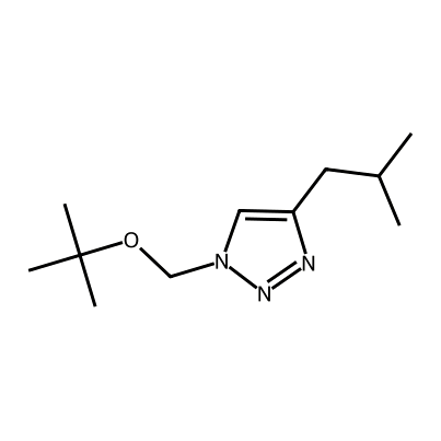 CC(C)Cc1cn(COC(C)(C)C)nn1